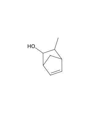 CC1C2C=CC(C2)C1O